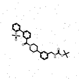 CC(C)(C)OC(=O)NCc1cccc(C2CCN(C(=O)c3cccc(-c4ccccc4[SH](C)(C)=O)c3)CC2)c1